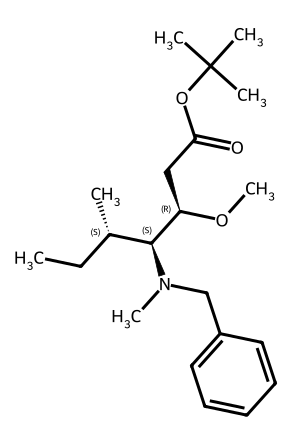 CC[C@H](C)[C@@H]([C@@H](CC(=O)OC(C)(C)C)OC)N(C)Cc1ccccc1